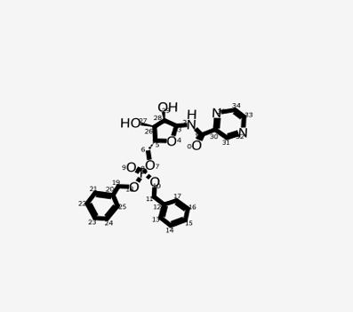 O=C(NC1O[C@H](COP(=O)(OCc2ccccc2)OCc2ccccc2)[C@@H](O)[C@H]1O)c1cnccn1